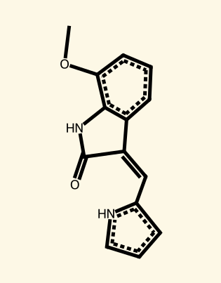 COc1cccc2c1NC(=O)/C2=C\c1ccc[nH]1